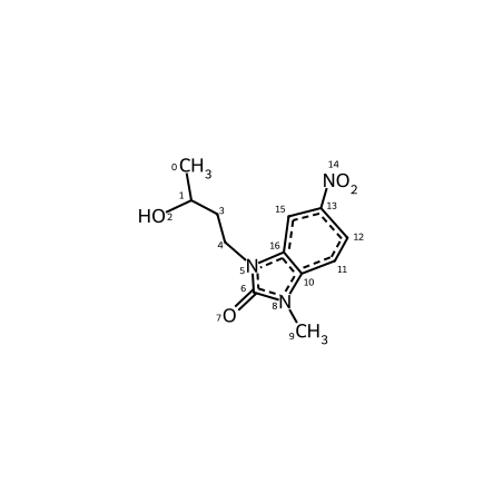 CC(O)CCn1c(=O)n(C)c2ccc([N+](=O)[O-])cc21